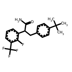 CC(C)(C)c1ccc(CC(C(N)=O)c2cccc(C(F)(F)F)c2F)cc1